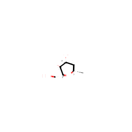 CC(C)[C@H]1O[C@H](CO)[C@@H](O)[C@H](O)[C@@H]1O